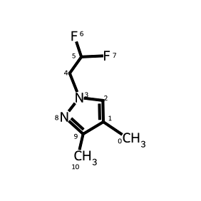 Cc1cn(CC(F)F)nc1C